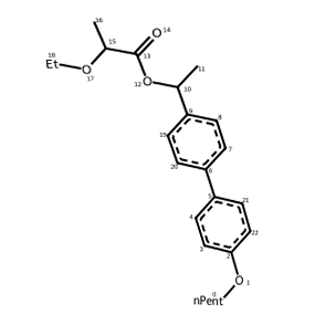 CCCCCOc1ccc(-c2ccc(C(C)OC(=O)C(C)OCC)cc2)cc1